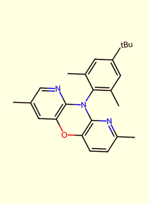 Cc1cnc2c(c1)Oc1ccc(C)nc1N2c1c(C)cc(C(C)(C)C)cc1C